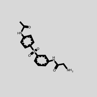 CC(=O)Nc1ccc(S(=O)(=O)c2cccc(NC(=O)CN)c2)cc1